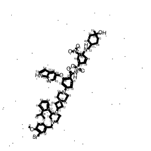 COc1ccc(CN2CCN(C3CC4(CCN(c5ccc(C(=O)NS(=O)(=O)c6ccc(NCC7CCC(C)(O)CC7)c([N+](=O)[O-])c6)c(Oc6cnc7[nH]ccc7c6)c5)CC4)C3)C(c3ccccc3C(C)C)C2)cc1Br